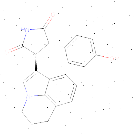 O=C1NC(=O)[C@H](c2cn3c4c(cccc24)CCC3)[C@H]1c1ccc(O)cc1